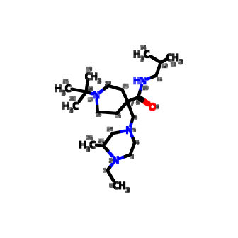 CCN1CCN(CC2(C(=O)NCC(C)C)CCN(C(C)(C)C)CC2)CC1C